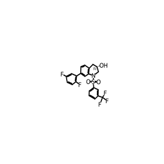 O=S(=O)(c1cccc(C(F)(F)F)c1)N1C[C@@H](O)Cc2ccc(-c3cc(F)ccc3F)cc21